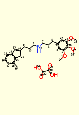 COc1cc(CCCNCCCC2=Cc3cccc(C)c3C2)cc(OC)c1OC.O=C(O)C(=O)O